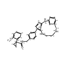 O=C(NCc1ccc(-c2cnc3nc2NCCCNSc2cccc(c2)N3)cc1)C1(c2ccccc2C(F)(F)F)CC1